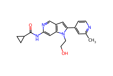 Cc1cc(-c2cc3cnc(NC(=O)C4CC4)cc3n2CCO)ccn1